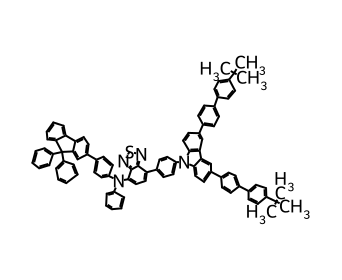 CC(C)(C)c1ccc(-c2ccc(-c3ccc4c(c3)c3cc(-c5ccc(-c6ccc(C(C)(C)C)cc6)cc5)ccc3n4-c3ccc(-c4ccc(N(c5ccccc5)c5ccc(-c6ccc7c(c6)C(c6ccccc6)(c6ccccc6)c6ccccc6-7)cc5)c5nsnc45)cc3)cc2)cc1